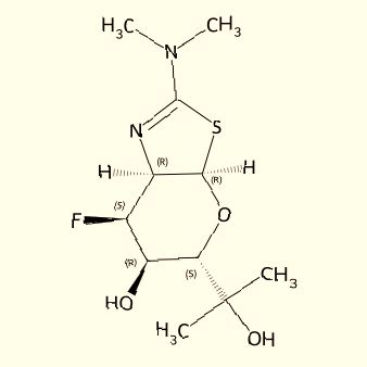 CN(C)C1=N[C@@H]2[C@H](F)[C@H](O)[C@@H](C(C)(C)O)O[C@@H]2S1